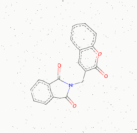 O=C1c2ccccc2C(=O)N1Cc1cc2ccccc2oc1=O